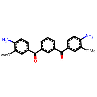 COc1cc(C(=O)c2cccc(C(=O)c3ccc(N)c(OC)c3)c2)ccc1N